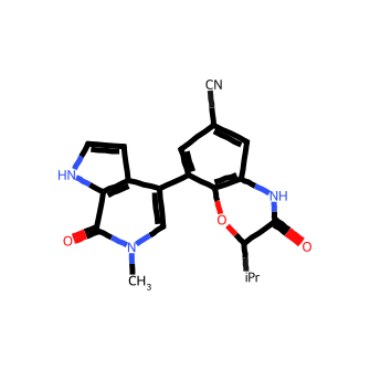 CC(C)C1Oc2c(cc(C#N)cc2-c2cn(C)c(=O)c3[nH]ccc23)NC1=O